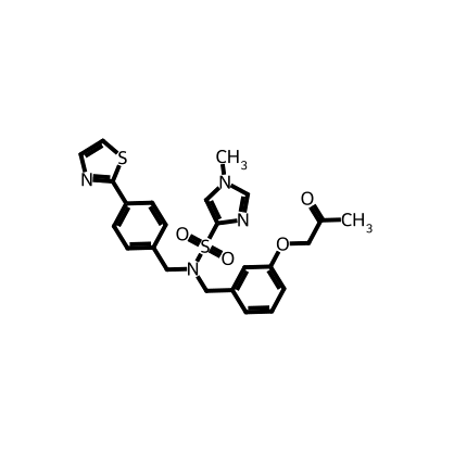 CC(=O)COc1cccc(CN(Cc2ccc(-c3nccs3)cc2)S(=O)(=O)c2cn(C)cn2)c1